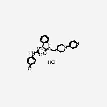 Cl.O=C(Nc1ccc(Cl)cc1)O[C@H](C(=O)NCC1CCN(c2ccncc2)CC1)c1ccccc1